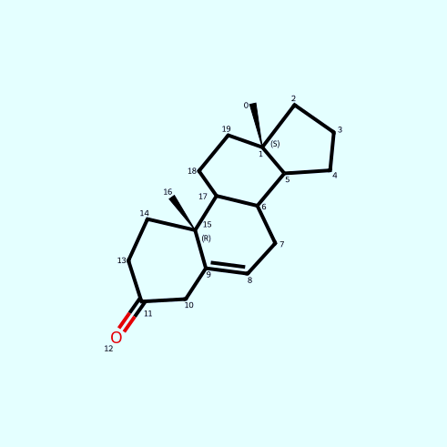 C[C@@]12CCCC1C1CC=C3CC(=O)CC[C@]3(C)C1CC2